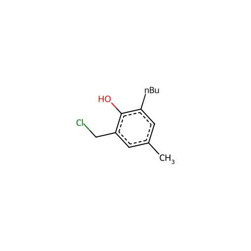 CCCCc1cc(C)cc(CCl)c1O